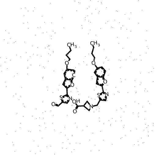 CCCCOc1ccc2oc(-c3ncc(C=O)s3)cc2c1.CCCCOc1ccc2oc(-c3ncc(CN4CC(C(=O)O)C4)s3)cc2c1